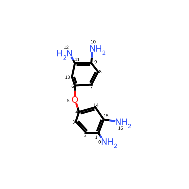 Nc1ccc(Oc2ccc(N)c(N)c2)cc1N